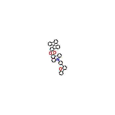 c1ccc(N(c2ccc(-c3cccc4c3oc3ccccc34)cc2)c2ccccc2-c2cccc3c2Oc2c(ccc4c2-c2ccccc2C42c4ccccc4-c4ccccc42)O3)cc1